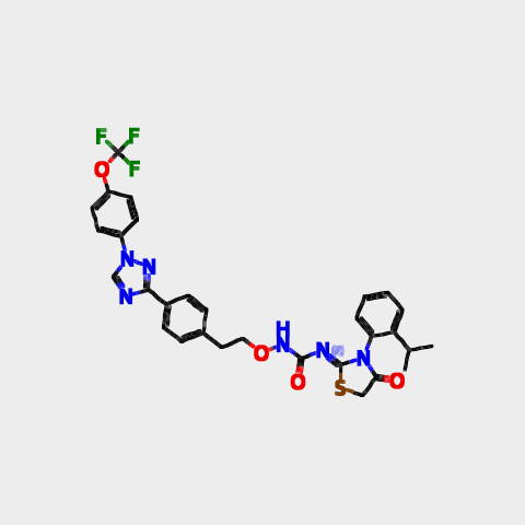 CC(C)c1ccccc1N1C(=O)CS/C1=N\C(=O)NOCCc1ccc(-c2ncn(-c3ccc(OC(F)(F)F)cc3)n2)cc1